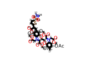 CC(=O)OCOC(=O)CN(CC(=O)OCOC(C)=O)c1ccc(C)cc1OCCOc1cc2cc(-c3ccc(S(=O)(=O)N(C)C)s3)c(=O)oc2cc1N(CC(=O)OCOC(C)=O)CC(=O)OCOC(C)=O